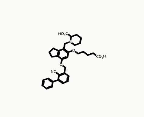 N#Cc1c(COc2cc(OCCCCC(=O)O)c(CN3CCCCC3C(=O)O)c3c2CCC3)cccc1-c1ccccc1